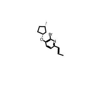 C/C=C/c1ccc(O[C@@H]2CC[C@H](C)C2)c(Br)n1